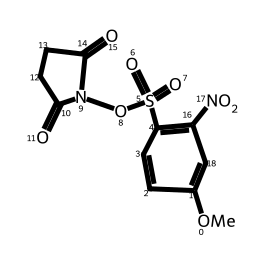 COc1ccc(S(=O)(=O)ON2C(=O)CCC2=O)c([N+](=O)[O-])c1